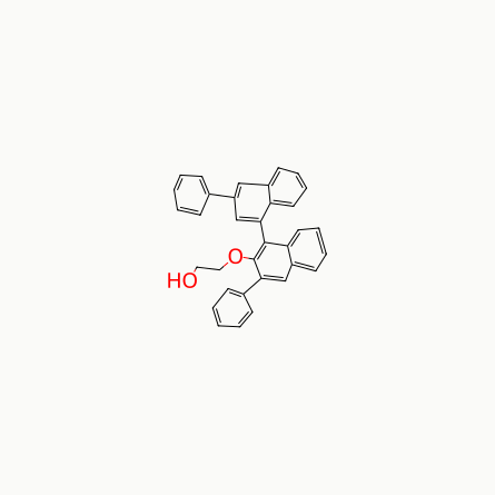 OCCOc1c(-c2ccccc2)cc2ccccc2c1-c1cc(-c2ccccc2)cc2ccccc12